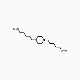 COCCCCCN1CCN(CCCCCOC)CC1